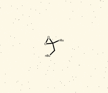 CCCCCC1(CCCC)OO1